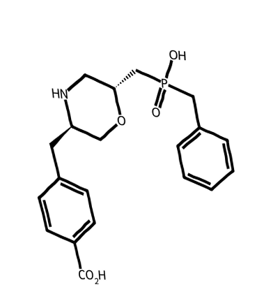 O=C(O)c1ccc(C[C@@H]2CO[C@@H](CP(=O)(O)Cc3ccccc3)CN2)cc1